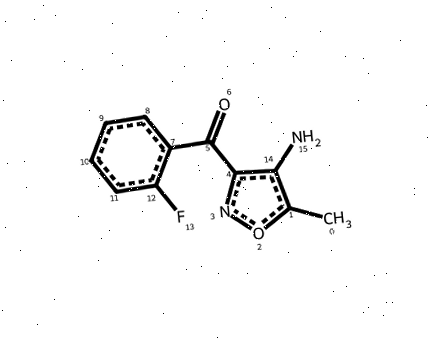 Cc1onc(C(=O)c2ccccc2F)c1N